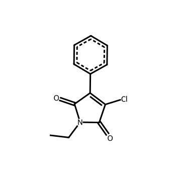 CCN1C(=O)C(Cl)=C(c2ccccc2)C1=O